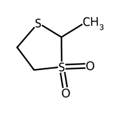 CC1SCCS1(=O)=O